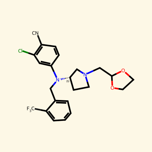 [C-]#[N+]c1ccc(N(Cc2ccccc2C(F)(F)F)[C@H]2CCN(CC3OCCO3)C2)cc1Cl